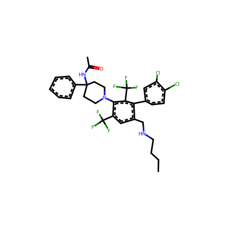 CCCCNCc1cc(C(F)(F)F)c(N2CCC(NC(C)=O)(c3ccccc3)CC2)c(C(F)(F)F)c1-c1ccc(Cl)c(Cl)c1